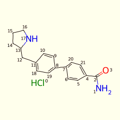 Cl.NC(=O)c1ccc(-c2ccc(CC3CCCN3)cc2)cc1